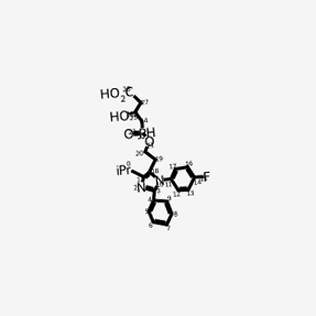 CC(C)c1nc(-c2ccccc2)n(-c2ccc(F)cc2)c1CCO[PH](=O)C[C@@H](O)CC(=O)O